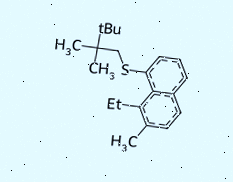 CCc1c(C)ccc2cccc(SCC(C)(C)C(C)(C)C)c12